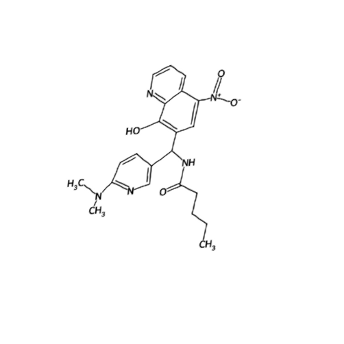 CCCCC(=O)NC(c1ccc(N(C)C)nc1)c1cc([N+](=O)[O-])c2cccnc2c1O